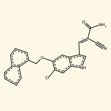 N#C/C(=C\c1c[nH]c2cc(Cl)c(OCc3cccc4ccccc34)cc12)C(N)=O